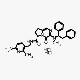 Cc1nc(N)ccc1CNC(=O)[C@@H]1CCc2cnc(N(C)C(Cc3ccccc3)c3ccccc3)c(=O)n21.Cl.Cl